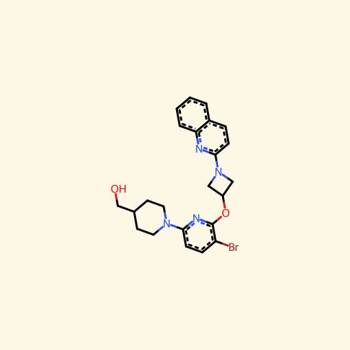 OCC1CCN(c2ccc(Br)c(OC3CN(c4ccc5ccccc5n4)C3)n2)CC1